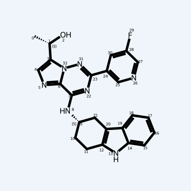 C[C@H](O)c1cnc2c(N[C@H]3CCc4[nH]c5ccccc5c4C3)nc(-c3cncc(F)c3)nn12